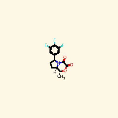 C[C@H]1OC(=O)C(=O)N2[C@@H]1CC[C@H]2c1cc(F)c(F)c(F)c1